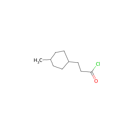 CC1CCC(CCC(=O)Cl)CC1